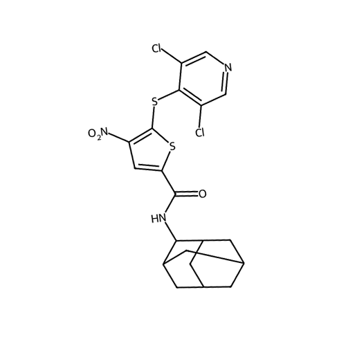 O=C(NC1C2CC3CC(C2)CC1C3)c1cc([N+](=O)[O-])c(Sc2c(Cl)cncc2Cl)s1